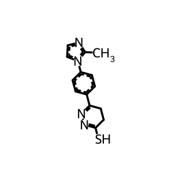 Cc1nccn1-c1ccc(C2=NN=C(S)CC2)cc1